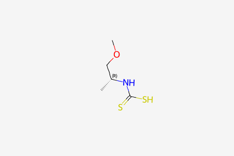 COC[C@@H](C)NC(=S)S